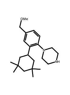 COCc1ccc(N2CCNCC2)c(C2CC(C)(C)CC(C)(C)C2)c1